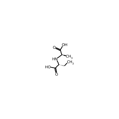 CC[C@@H](N[C@H](C)C(=O)O)C(=O)O